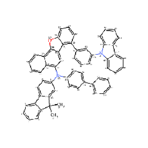 CC1(C)c2ccccc2-c2ccc(N(c3ccc(-c4ccccc4)cc3)c3cc4c(oc5cccc(-c6cccc(-n7c8ccccc8c8ccccc87)c6)c54)c4ccccc34)cc21